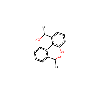 CCC(O)c1ccccc1-c1c(O)cccc1C(O)CC